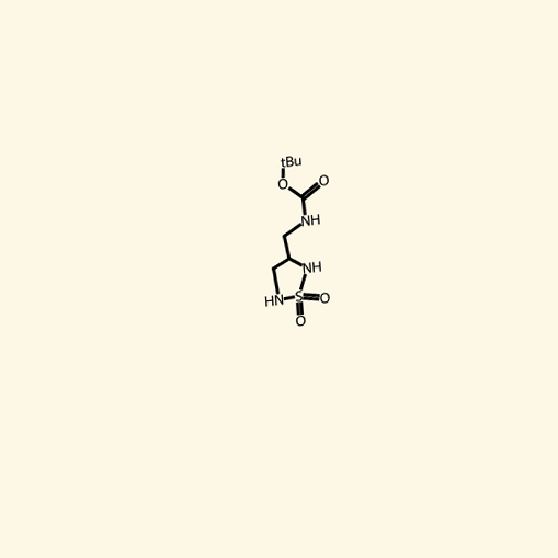 CC(C)(C)OC(=O)NCC1CNS(=O)(=O)N1